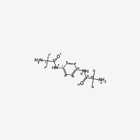 CC(C)(N)C(=O)Nc1ccc(NC(=O)C(C)(C)N)cc1